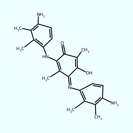 CC1=C(O)C(=Nc2ccc(N)c(C)c2C)C(C)=C(Nc2ccc(N)c(C)c2C)C1=O